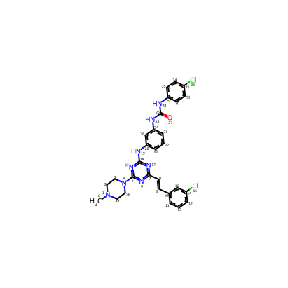 CN1CCN(c2nc(C=Cc3cccc(Cl)c3)nc(Nc3cccc(NC(=O)Nc4ccc(Cl)cc4)c3)n2)CC1